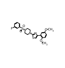 COc1ccc(OC)c(-c2csc(N3CCN(S(=O)(=O)c4cccc(F)c4)CC3)n2)c1